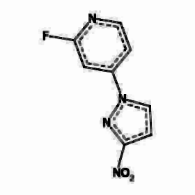 O=[N+]([O-])c1ccn(-c2ccnc(F)c2)n1